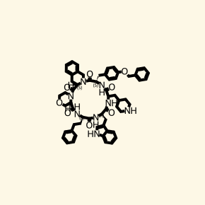 O=C1N[C@@H](Cc2ccc(OCc3ccccc3)cc2)C(=O)N2Cc3ccccc3C[C@H]2C(=O)N2CCOC[C@H]2C(=O)N[C@H](CCc2ccccc2)C(=O)N[C@H](Cc2c[nH]c3ccccc23)C(=O)NC1CC1CCNCC1